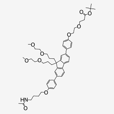 COCCOCCCC1(CCCOCCOC)c2cc(-c3ccc(OCCCCNC(C)=O)cc3)ccc2-c2ccc(-c3ccc(OCCOCCC(=O)OC(C)(C)C)cc3)cc21